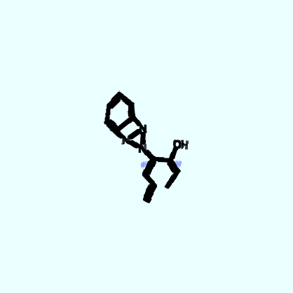 C=C/C=C(\C(O)=C/C)n1n2c3ccccc3n12